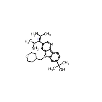 C/C(N)=C(\c1cnc2c3ccc(C(C)(C)O)cc3n(CC3CCOCC3)c2c1)N(C)N